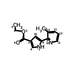 CCOC(=O)c1c[nH]c(-c2ncccc2C)c1